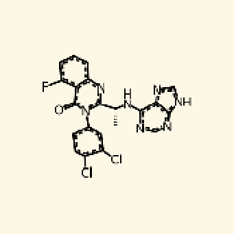 C[C@@H](Nc1ncnc2[nH]cnc12)c1nc2cccc(F)c2c(=O)n1-c1ccc(Cl)c(Cl)c1